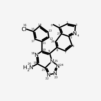 Cc1ccnc2ccc(-c3c(-c4cccc(Cl)c4)nc(N)c4nnnn34)cc12